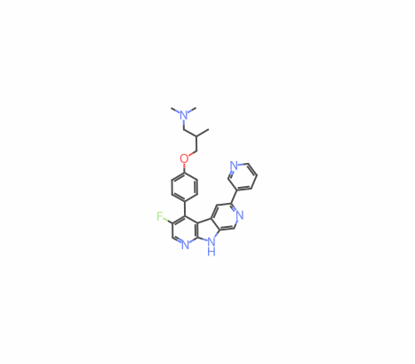 CC(COc1ccc(-c2c(F)cnc3[nH]c4cnc(-c5cccnc5)cc4c23)cc1)CN(C)C